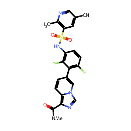 CNC(=O)c1ncn2cc(-c3c(F)ccc(NS(=O)(=O)c4cc(C#N)cnc4C)c3F)ccc12